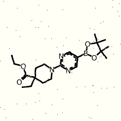 CCOC(=O)C1(CC)CCN(c2ncc(B3OC(C)(C)C(C)(C)O3)cn2)CC1